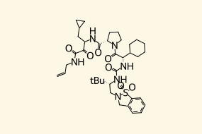 C=CCNC(=O)C(=O)C(CC1CC1)NC(=O)[C@@H]1CCCN1C(=O)[C@@H](NC(=O)N[C@H](CN1Cc2ccccc2S1(=O)=O)C(C)(C)C)C1CCCCC1